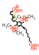 CCO[PH]1(Cc2cc(-c3ccc(-c4ccc(O[PH](=O)O)s4)s3)c(C[PH]3(OCC)OC(C)O3)cc2C#CCCCCCCCOP(O)O)OC(C)O1